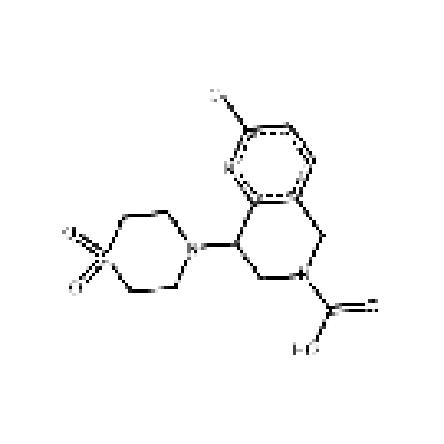 O=C(O)N1Cc2ccc(Cl)nc2C(N2CCS(=O)(=O)CC2)C1